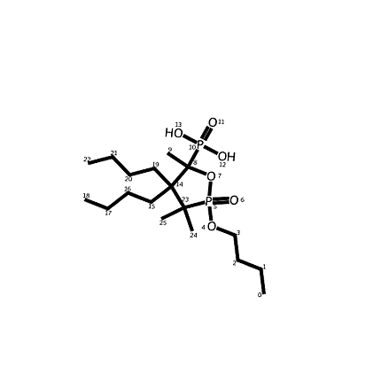 CCCCOP1(=O)OC(C)(P(=O)(O)O)C(CCCC)(CCCC)C1(C)C